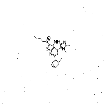 CCCC[S+]([O-])c1sc2nc(-c3cnccc3C)cc(-c3cnc(C)n3C)c2c1N